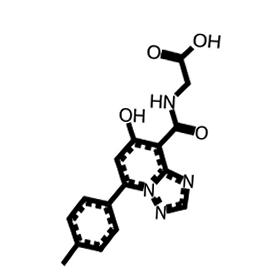 Cc1ccc(-c2cc(O)c(C(=O)NCC(=O)O)c3ncnn23)cc1